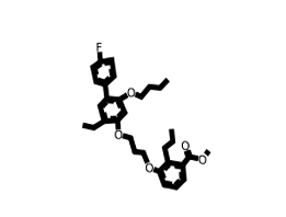 CCCCOc1cc(OCCCOc2cccc(C(=O)OC)c2CCC)c(CC)cc1-c1ccc(F)cc1